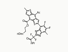 CCCCCCCCCCCCOC(=O)c1c2cc(C)sc2c(C(C)=O)c2cc(-c3c(F)c(F)c(C)c4nn(C(F)(F)C(=O)CCC)nc34)sc12